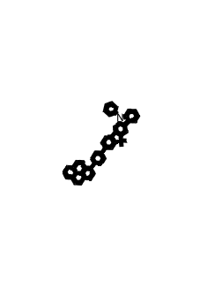 CC1(C)c2cc(-c3ccc(-c4ccc5ccc6cccc7ccc4c5c67)cc3)ccc2-c2cc3c(cc21)c1ccccc1n3-c1ccccc1